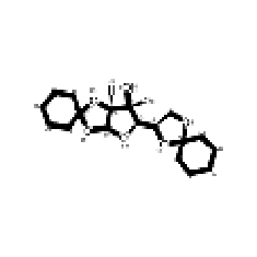 [O][C@@]1(O)[C@@H]([C@H]2COC3(CCCCC3)O2)OC2OC3(CCCCC3)O[C@@H]21